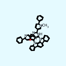 CN1C=C(C2N=C(c3ccc(-c4ccccc4)nc3)N=C(n3c4ccccc4c4ccc5c6ccccc6n(-c6ccccc6)c5c43)N2)C=CC1c1ccccc1